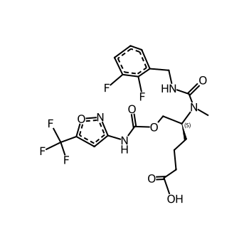 CN(C(=O)NCc1cccc(F)c1F)[C@@H](CCCC(=O)O)COC(=O)Nc1cc(C(F)(F)F)on1